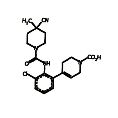 CC1(C#N)CCN(C(=O)Nc2c(Cl)cccc2C2=CCN(C(=O)O)CC2)CC1